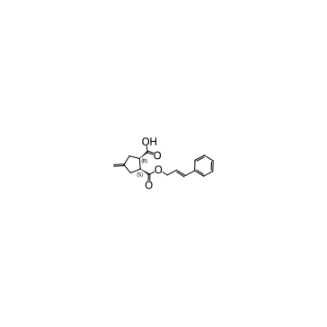 C=C1C[C@H](C(=O)OCC=Cc2ccccc2)[C@H](C(=O)O)C1